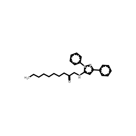 CCCCCCCCC(=O)CNc1cc(-c2ccccc2)nn1-c1ccccc1